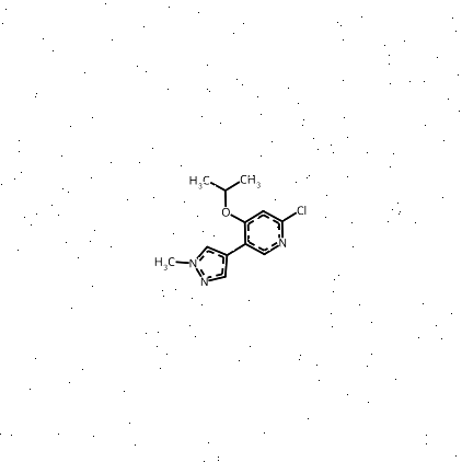 CC(C)Oc1cc(Cl)ncc1-c1cnn(C)c1